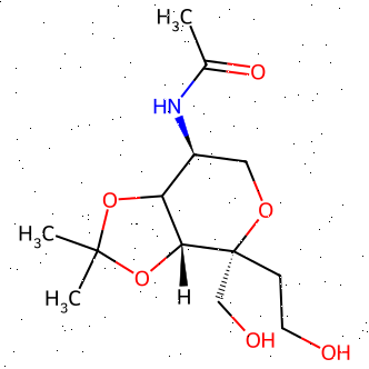 CC(=O)N[C@H]1CO[C@@](CO)(CCO)[C@@H]2OC(C)(C)OC12